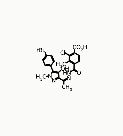 CC(=NNC(=O)c1ccc(C(=O)O)c(Cl)c1C)c1nn(C)c(-c2ccc(C(C)(C)C)cc2)c1O